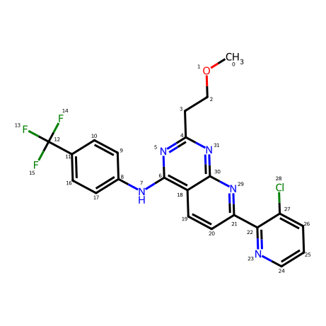 COCCc1nc(Nc2ccc(C(F)(F)F)cc2)c2ccc(-c3ncccc3Cl)nc2n1